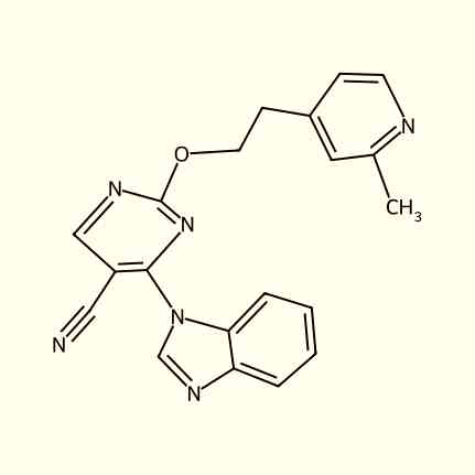 Cc1cc(CCOc2ncc(C#N)c(-n3cnc4ccccc43)n2)ccn1